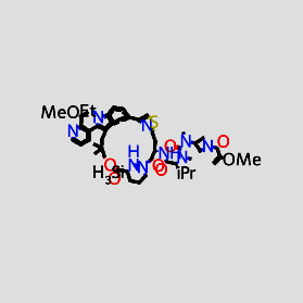 C=C(OC)C(=O)N1CC(N(C)C(=O)N(C)[C@H](C(=O)N[C@H]2Cc3nc(cs3)-c3ccc4c(c3)c(c(-c3cccnc3[C@H](C)OC)n4CC)CC(C)(C)COC(=O)[C@@]3([SiH3])CCCN(N3)C2=O)C(C)C)C1